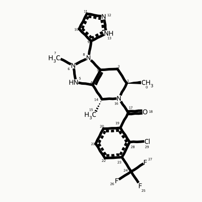 C[C@@H]1CC2=C(NN(C)N2c2ccn[nH]2)[C@@H](C)N1C(=O)c1cccc(C(F)(F)F)c1Cl